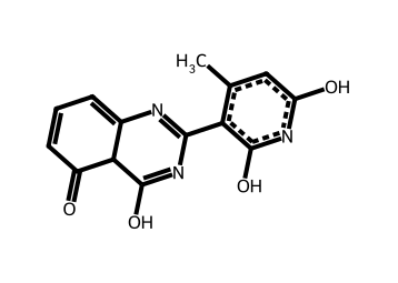 Cc1cc(O)nc(O)c1C1=NC2=CC=CC(=O)C2C(O)=N1